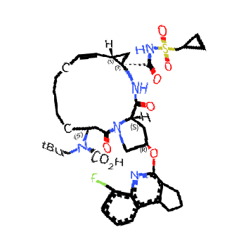 CC(C)(C)N(C(=O)O)[C@H]1CCCCCC=C[C@@H]2C[C@@]2(C(=O)NS(=O)(=O)C2CC2)NC(=O)[C@@H]2C[C@@H](Oc3nc4c(F)cccc4c4c3CCC4)CN2C1=O